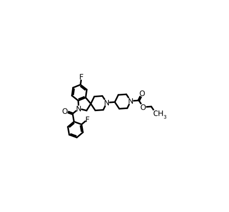 CCOC(=O)N1CCC(N2CCC3(CC2)CN(C(=O)c2ccccc2F)c2ccc(F)cc23)CC1